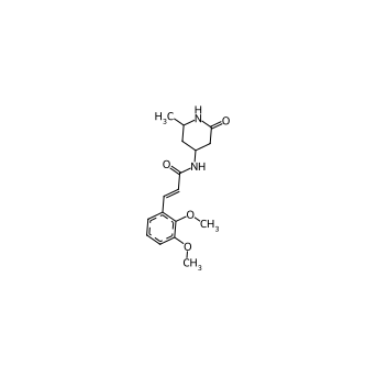 COc1cccc(C=CC(=O)NC2CC(=O)NC(C)C2)c1OC